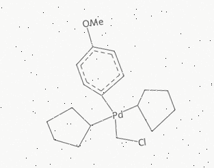 COc1cc[c]([Pd]([CH2]Cl)([CH]2CCCC2)[CH]2CCCC2)cc1